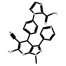 Cn1nc(-c2ccncc2)c2c1OC(N)=C(C#N)C2c1ccc(-n2ccnc2C(N)=O)cc1